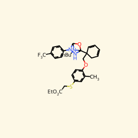 CCCCN1C2OC1(C1(COc3ccc(SCC(=O)OCC)cc3C)C=CC=CC1)NN2c1ccc(C(F)(F)F)cc1